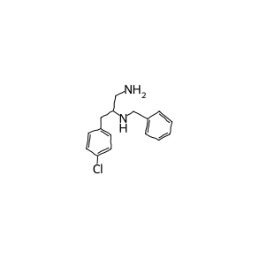 NCC(Cc1ccc(Cl)cc1)NCc1ccccc1